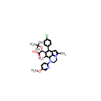 COc1ccc(N2CCn3c(C)cc4c(-c5ccc(Cl)cc5)c([C@H](OC(C)(C)C)C(=O)O)c(C)c2c43)nc1